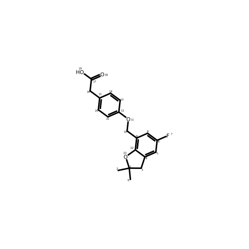 CC1(C)Cc2cc(F)cc(COc3ccc(CC(=O)O)cc3)c2O1